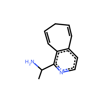 CC(N)c1nccc2c1C=CCC=C2